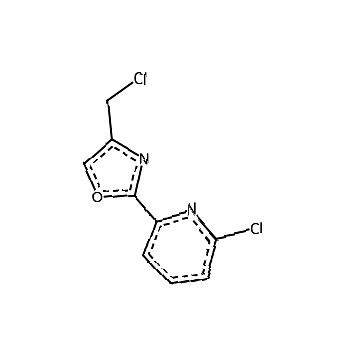 ClCc1coc(-c2cccc(Cl)n2)n1